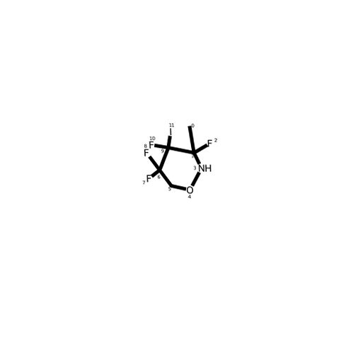 CC1(F)NOCC(F)(F)C1(F)I